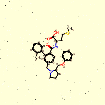 CSCC[C@H](NC(=O)c1ccc(CN2CCCC2COc2ccccc2)cc1-c1ccccc1C)C(=O)O